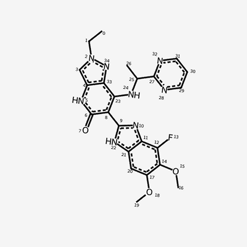 CCn1cc2[nH]c(=O)c(-c3nc4c(F)c(OC)c(OC)cc4[nH]3)c(NC(C)c3ncccn3)c2n1